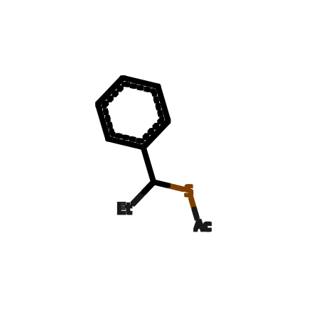 CCC(SC(C)=O)c1ccccc1